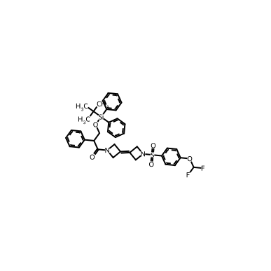 CC(C)(C)[Si](OCC(C(=O)N1CC(=C2CN(S(=O)(=O)c3ccc(OC(F)F)cc3)C2)C1)c1ccccc1)(c1ccccc1)c1ccccc1